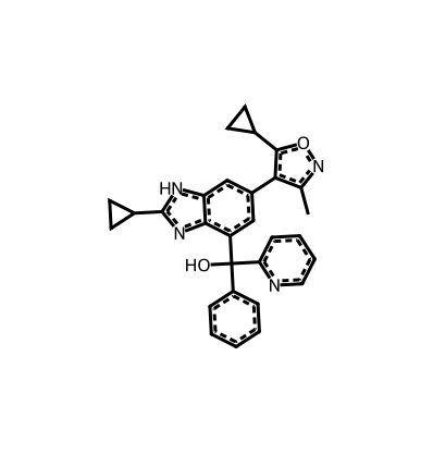 Cc1noc(C2CC2)c1-c1cc(C(O)(c2ccccc2)c2ccccn2)c2nc(C3CC3)[nH]c2c1